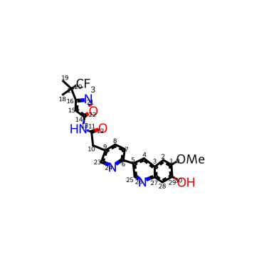 COc1cc2cc(-c3ccc(CC(=O)Nc4cc(C(C)(C)C(F)(F)F)no4)cn3)cnc2cc1O